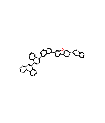 c1ccc2cc(-c3ccc4c(c3)oc3cc(-c5ccc6ccc(-c7ccc(-c8cc9ccccc9c9ccccc89)c8ccccc78)cc6c5)ccc34)ccc2c1